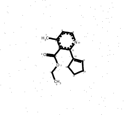 CCOC(=O)c1c(C)ccnc1C1=CCCC1